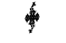 C=C(C)C(=O)OCCN1CCN(C(=O)C(C(C)OC)N2C(=O)c3cc(Oc4cc(C)cc(C)c4)c4c5c(Oc6cc(C)cc(C)c6)cc6c7c(cc(Oc8cc(C)cc(C)c8)c(c8c(Oc9cc(C)cc(C)c9)cc(c3c48)C2=O)c75)C(=O)N(C(C(=O)N2CCN(CCOC(=O)C(=C)C)CC2)C(C)OC)C6=O)CC1